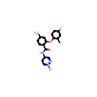 Cc1cc(F)ccc1Oc1cc(C(F)(F)F)ccc1C(=O)Nc1cc[n+]([O-])nc1